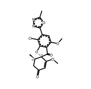 COC1=CC(=O)C[C@@H](C)[C@]12Oc1c(Cl)c(-c3nnc(C)o3)cc(OC)c1C2=O